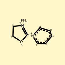 C1=NCCO1.P.c1ccncc1